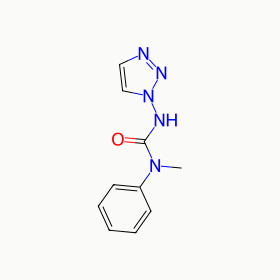 CN(C(=O)Nn1ccnn1)c1ccccc1